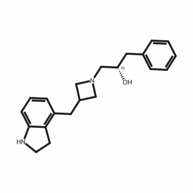 O[C@@H](Cc1ccccc1)CN1CC(Cc2cccc3c2CCN3)C1